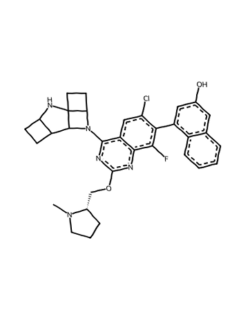 CN1CCC[C@H]1COc1nc(N2C3CCC34NC3CCC3C24)c2cc(Cl)c(-c3cc(O)cc4ccccc34)c(F)c2n1